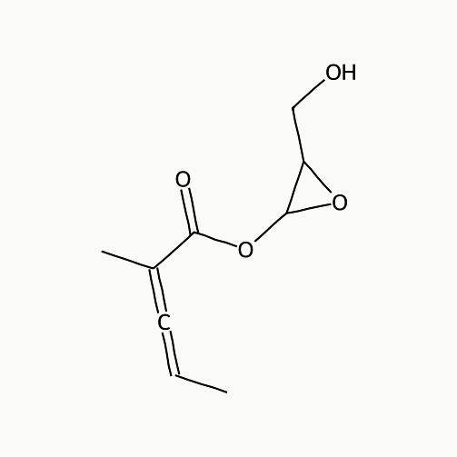 CC=C=C(C)C(=O)OC1OC1CO